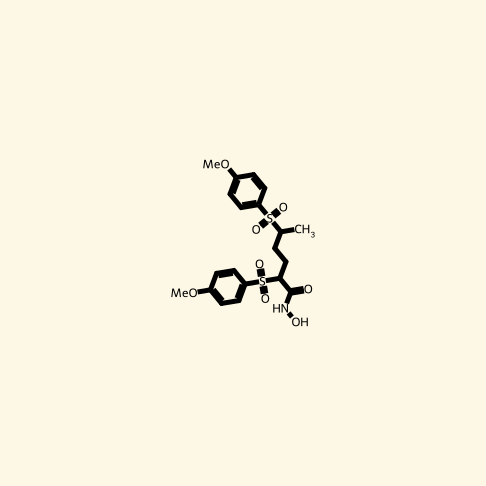 COc1ccc(S(=O)(=O)C(C)CCC(C(=O)NO)S(=O)(=O)c2ccc(OC)cc2)cc1